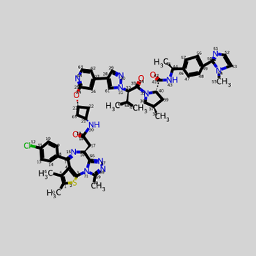 Cc1sc2c(c1C)C(c1ccc(Cl)cc1)=N[C@@H](CC(=O)N[C@H]1C[C@@H](Oc3cc(-c4cnn([C@@H](C(=O)N5C[C@H](C)C[C@H]5C(=O)N[C@@H](C)c5ccc(-c6nccn6C)cc5)C(C)C)c4)ccn3)C1)c1nnc(C)n1-2